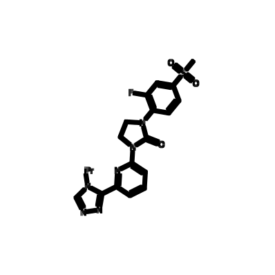 CC(C)n1cnnc1-c1cccc(N2CCN(c3ccc(S(C)(=O)=O)cc3F)C2=O)n1